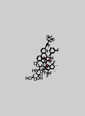 C[C@@H]1c2c(C(F)(F)F)nn(CC(=O)N[C@@H](Cc3cc(F)cc(F)c3)c3nc(C#CC(C)(C)S(C)(=O)=O)ccc3-c3ccc(Cl)c4c(N(C(=O)C(=O)N[C@@H](CC(=O)O)C(=O)O)S(C)(=O)=O)nn(CC(F)(F)F)c34)c2C(F)(F)[C@@H]1C